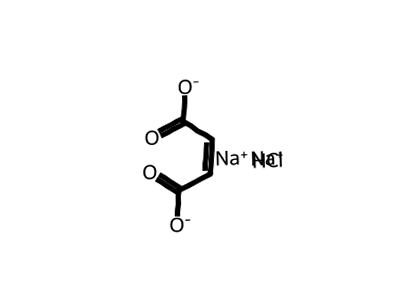 Cl.O=C([O-])/C=C\C(=O)[O-].[Na+].[Na+]